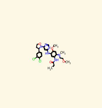 C=CC(=O)Nc1cc(Nc2cc(N3OCCC3c3ccc(Cl)c(Cl)c3)ncn2)c(OC)cc1N(C)CCOC